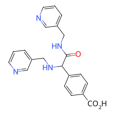 O=C(O)c1ccc(C(NCc2cccnc2)C(=O)NCc2cccnc2)cc1